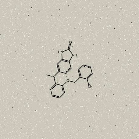 CN(c1ccc2[nH]c(=O)[nH]c2c1)c1ccccc1OCc1ccccc1Cl